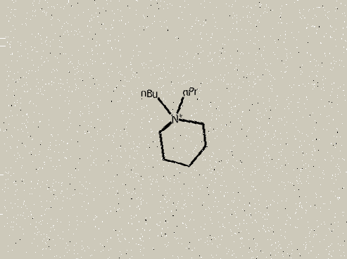 CCCC[N+]1(CCC)CCCCC1